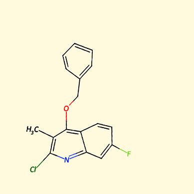 Cc1c(Cl)nc2cc(F)ccc2c1OCc1ccccc1